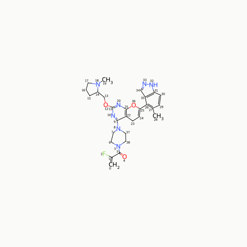 C=C(F)C(=O)N1CCN(c2nc(OCC3CCCN3C)nc3c2CC=C(c2c(C)ccc4[nH]ncc24)O3)CC1